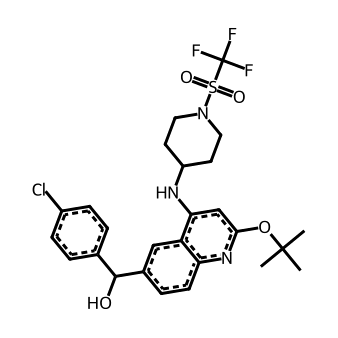 CC(C)(C)Oc1cc(NC2CCN(S(=O)(=O)C(F)(F)F)CC2)c2cc(C(O)c3ccc(Cl)cc3)ccc2n1